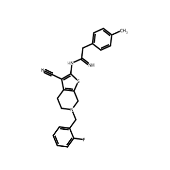 Cc1ccc(CC(=N)Nc2sc3c(c2C#N)CCN(Cc2ccccc2F)C3)cc1